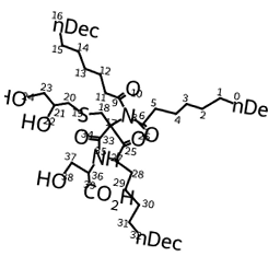 CCCCCCCCCCCCCCCC(=O)N(C(=O)CCCCCCCCCCCCCCC)C(CSCC(O)CO)(C(=O)CCCCCCCCCCCCCCC)C(=O)NC(CO)C(=O)O